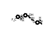 Cc1n[nH]c2cc(OCCNC[C@H](O)c3cccc(NS(=O)(=O)c4cccc(C(F)(F)F)c4)c3)ccc12